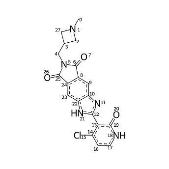 CN1CC(CN2C(=O)c3cc4nc(-c5c(Cl)cc[nH]c5=O)[nH]c4cc3C2=O)C1